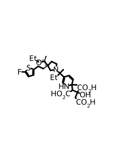 CCO[C@@H](C)[C@]1(CCc2ccc(F)s2)CCN(C(C)(CC)C2=CNC(C)(C(C(=O)O)C(O)(CC(=O)O)C(=O)O)C=C2)C1